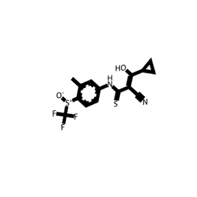 Cc1cc(NC(=S)C(C#N)=C(O)C2CC2)ccc1[S+]([O-])C(F)(F)F